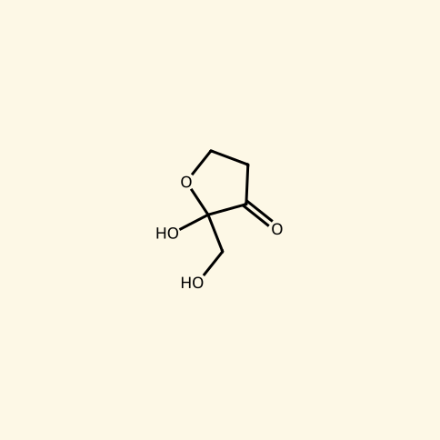 O=C1CCOC1(O)CO